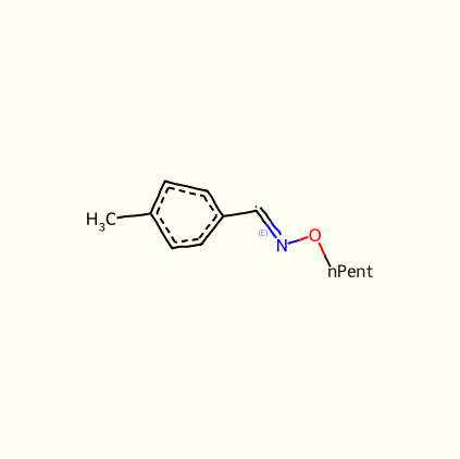 CCCCCO/N=[C]/c1ccc(C)cc1